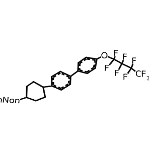 CCCCCCCCCC1CCC(c2ccc(-c3ccc(OC(F)(F)C(F)(F)C(F)(F)C(F)(F)F)cc3)cc2)CC1